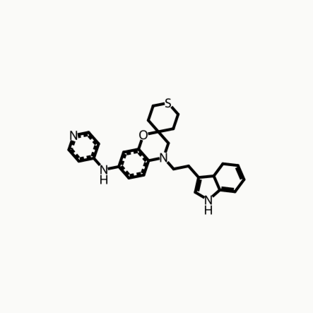 C1=CCC2C(CCN3CC4(CCSCC4)Oc4cc(Nc5ccncc5)ccc43)=CNC2=C1